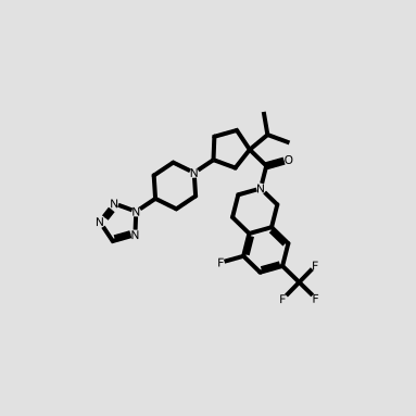 CC(C)C1(C(=O)N2CCc3c(F)cc(C(F)(F)F)cc3C2)CCC(N2CCC(n3ncnn3)CC2)C1